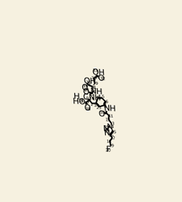 CC(Cc1cccc(NC(=O)CCCn2cc(CCCF)nn2)c1)(NC(=O)N[C@@H](CCC(=O)O)C(=O)O)C(=O)O